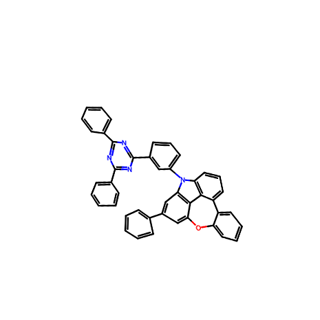 c1ccc(-c2cc3oc4ccccc4c4cccc5c4c3c(c2)n5-c2cccc(-c3nc(-c4ccccc4)nc(-c4ccccc4)n3)c2)cc1